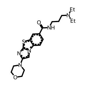 CCN(CC)CCCNC(=O)c1ccc2c(c1)sc1nc(N3CCOCC3)cn12